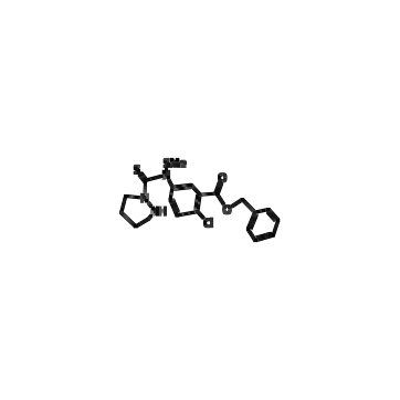 CSN(C(=S)N1CCCCN1)c1ccc(Cl)c(C(=O)OCc2ccccc2)c1